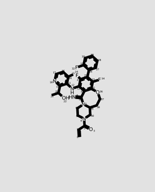 C=CC(=O)N1CCN2C(=N)c3c(Nc4c(C)ccnc4C(C)O)c(F)c(-c4ccccc4F)c(F)c3OCCC2C1